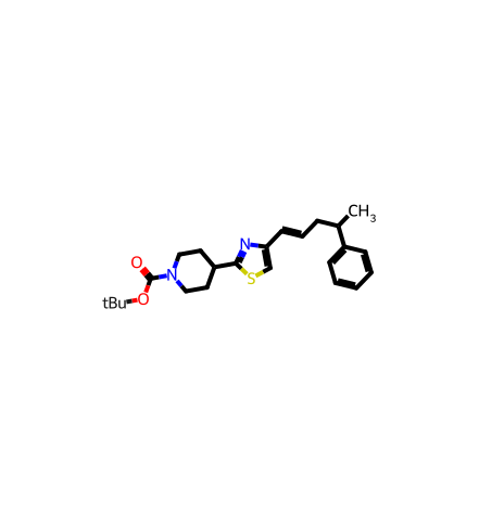 CC(CC=Cc1csc(C2CCN(C(=O)OC(C)(C)C)CC2)n1)c1ccccc1